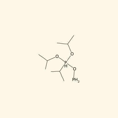 CC(C)O[PH](OP)(OC(C)C)C(C)C